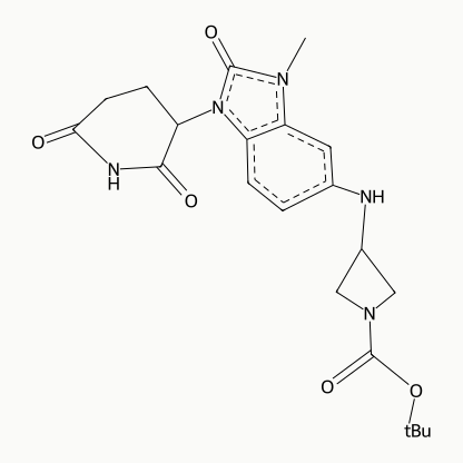 Cn1c(=O)n(C2CCC(=O)NC2=O)c2ccc(NC3CN(C(=O)OC(C)(C)C)C3)cc21